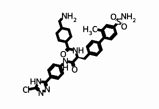 Cc1cc(S(N)(=O)=O)ccc1-c1ccc(C[C@H](NC(=O)C2CCC(CN)CC2)C(=O)Nc2ccc(-c3nnc(Cl)[nH]3)cc2)cc1